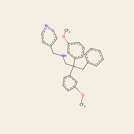 FC(F)(F)Oc1cccc(C(CNCc2ccncc2)(Cc2ccccc2)c2cccc(OC(F)(F)F)c2)c1